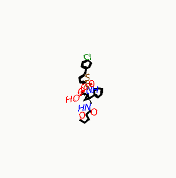 O=C(NC[C@@]1(c2ccccc2)CC1(NS(=O)(=O)c1ccc(-c2ccc(Cl)cc2)s1)C(=O)O)C1CCCO1